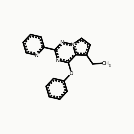 CCc1ccn2nc(-c3ccccn3)nc(Oc3ccccc3)c12